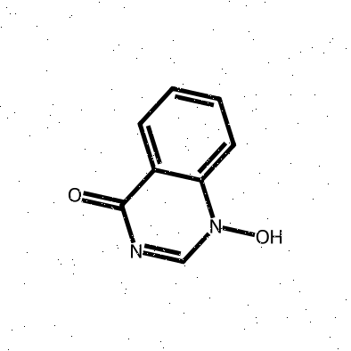 O=c1ncn(O)c2ccccc12